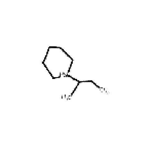 CCC(C)[SiH]1CCCCC1